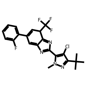 Cn1nc(C(C)(C)C)c(Cl)c1C1=NC2=CC(c3ccccc3F)=CC(C(F)(F)F)C2=N1